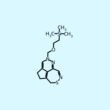 C[Si](C)(C)CCOCN1C=C2CCC3=C2C(=N1)C=NSC3